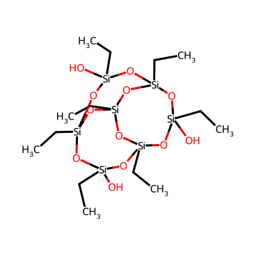 CC[Si]1(O)O[Si]2(CC)O[Si](O)(CC)O[Si]3(CC)O[Si](O)(CC)O[Si](CC)(O1)O[Si](CC)(O2)O3